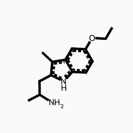 CCOc1ccc2[nH]c(CC(C)N)c(C)c2c1